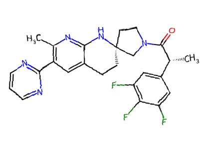 Cc1nc2c(cc1-c1ncccn1)CC[C@@]1(CCN(C(=O)[C@H](C)c3cc(F)c(F)c(F)c3)C1)N2